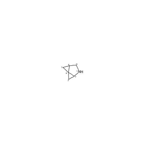 C1NC2CC23CC13